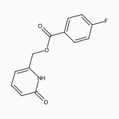 O=C(OCc1cccc(=O)[nH]1)c1ccc(F)cc1